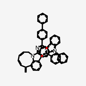 C=C1/C=C\C=C/CN(c2nc(-c3ccccc3)nc(-c3ccc(-c4ccccc4)cc3)n2)c2c1cccc2-c1ccc2c3ccccc3n(-c3ccccc3)c2c1